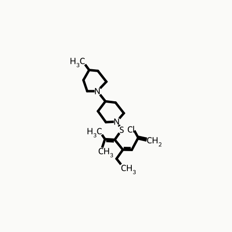 C=C(Cl)/C=C(/CC)C(SN1CCC(N2CCC(C)CC2)CC1)=C(C)C